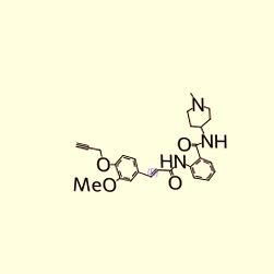 C#CCOc1ccc(/C=C/C(=O)Nc2ccccc2C(=O)NC2CCN(C)CC2)cc1OC